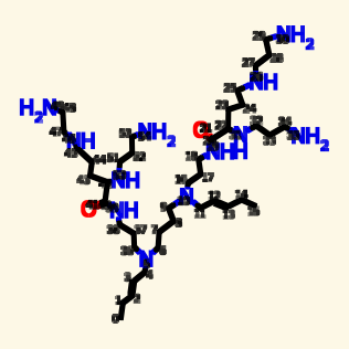 CCC=CCN(CCCCN(CC=CCC)CCCNC(=O)C(CCCNCCCN)NCCCN)CCCNC(=O)C(CCCNCCN)NCCCN